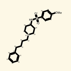 COc1ccc(S(=O)(=O)NC2CCN(CCCCc3ccccc3)CC2)cc1